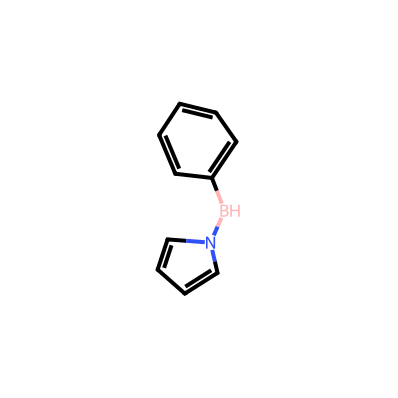 B(c1ccccc1)n1cccc1